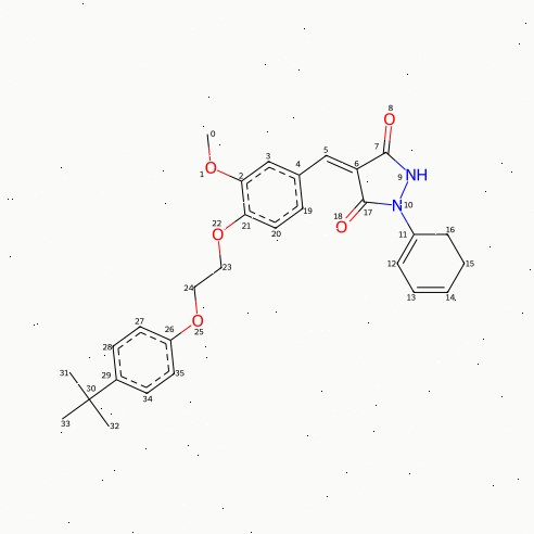 COc1cc(C=C2C(=O)NN(C3=CC=CCC3)C2=O)ccc1OCCOc1ccc(C(C)(C)C)cc1